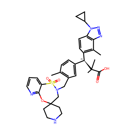 Cc1ccc([C@@H](c2ccc3c(nnn3C3CC3)c2C)C(C)(C)C(=O)O)cc1CN1CC2(CCNCC2)Oc2ncccc2S1(=O)=O